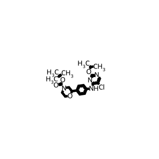 CC(C)Oc1ncc(Cl)c(Nc2ccc(C3CN(C(=O)OC(C)(C)C)CCO3)cc2)n1